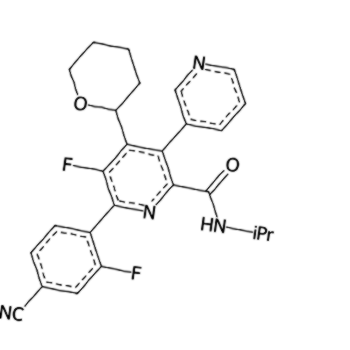 CC(C)NC(=O)c1nc(-c2ccc(C#N)cc2F)c(F)c(C2CCCCO2)c1-c1cccnc1